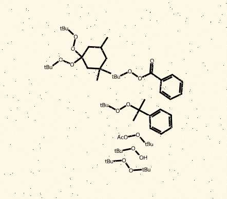 CC(=O)OOC(C)(C)C.CC(C)(C)OO.CC(C)(C)OOC(=O)c1ccccc1.CC(C)(C)OOC(C)(C)C.CC(C)(C)OOC(C)(C)c1ccccc1.CC1CC(C)(C)CC(OOC(C)(C)C)(OOC(C)(C)C)C1